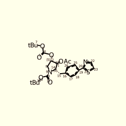 CC(=O)O[C@@H]1[C@@H](OC(=O)OC(C)(C)C)CN(C(=O)OC(C)(C)C)[C@H]1Cc1ccc(-c2nccs2)cc1